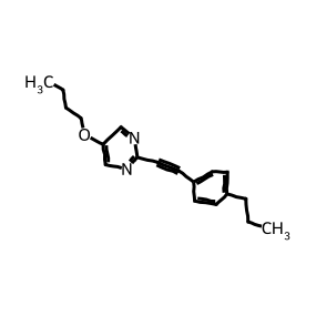 CCCCOc1cnc(C#Cc2ccc(CCC)cc2)nc1